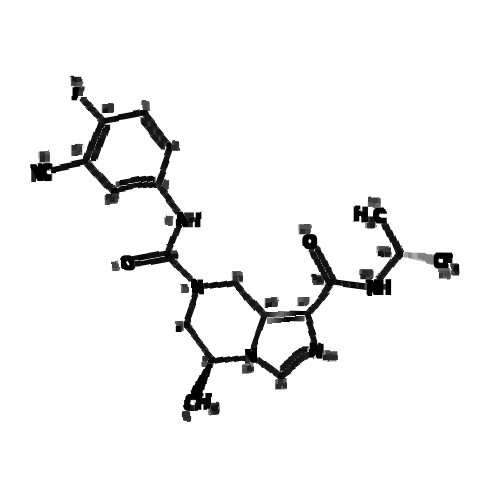 C[C@H]1CN(C(=O)Nc2ccc(F)c(C#N)c2)Cc2c(C(=O)N[C@H](C)C(F)(F)F)ncn21